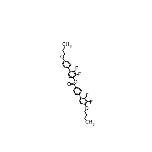 CCCCOc1ccc(-c2ccc(OC(=O)c3ccc(-c4ccc(OCCCC)c(F)c4F)cc3)c(F)c2F)cc1